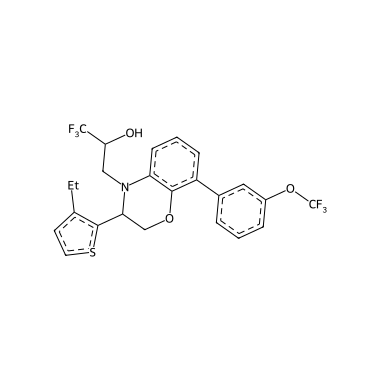 CCc1ccsc1C1COc2c(-c3cccc(OC(F)(F)F)c3)cccc2N1CC(O)C(F)(F)F